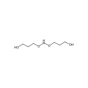 OCCCONOCCCO